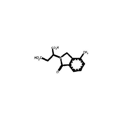 Cc1cccc2c1CN(C(CC(=O)O)C(=O)O)C2=O